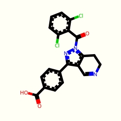 O=C(O)c1ccc(-c2nn(C(=O)c3c(Cl)cccc3Cl)c3c2C=NCC3)cc1